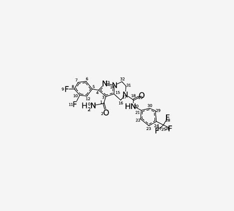 NC(=O)c1c(-c2ccc(F)c(F)c2)nn2c1CN(C(=O)Nc1ccc(C(F)(F)F)cc1)CC2